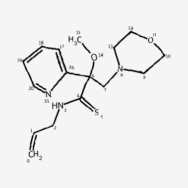 C=CCNC(=S)C(CN1CCOCC1)(OC)c1ccccn1